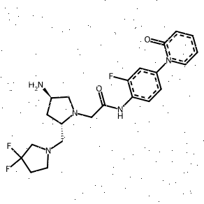 N[C@@H]1C[C@@H](CN2CCC(F)(F)C2)N(CC(=O)Nc2ccc(-n3ccccc3=O)cc2F)C1